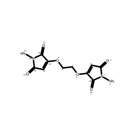 CCCN1C(=O)C=C(OCCOC2=CC(=O)N(CCC)C2=O)C1=O